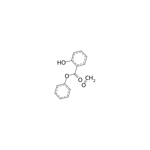 C=O.O=C(Oc1ccccc1)c1ccccc1O